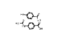 CC(=O)Nc1ccc(C(=O)O)cc1.O=C(O)c1ccc(O)cc1